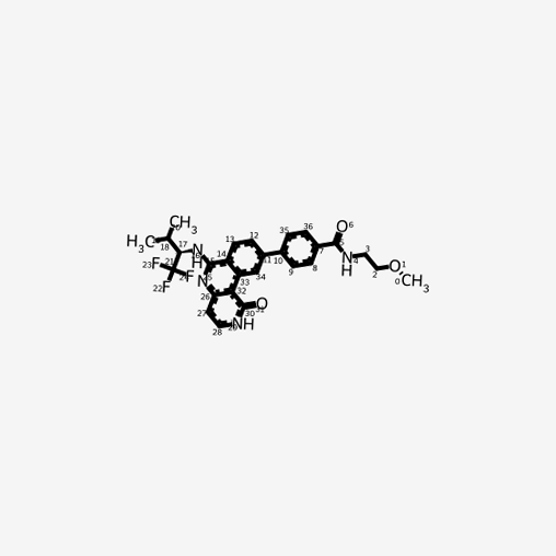 COCCNC(=O)c1ccc(-c2ccc3c(N[C@H](C(C)C)C(F)(F)F)nc4cc[nH]c(=O)c4c3c2)cc1